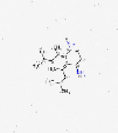 C/C(CC(C)C)=C1\C(=C(\C)CC(C)C)C(N)CCC1N